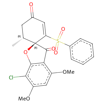 COc1cc(OC)c2c(c1Cl)O[C@]1(C2=O)C(S(=O)(=O)c2ccccc2)=CC(=O)C[C@H]1C